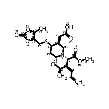 C=C/C=C(\C(=C)Cl)[C@@H](C(=O)OC)N1CCC(SCc2oc(=O)oc2C)/C(=C/C(=O)O)C1